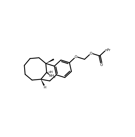 CCCC(=O)OCOc1ccc2c(c1)[C@@]1(C)CCCCC[C@@H](C2)[C@@H]1N